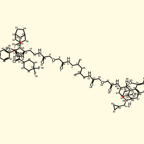 CC(CNC(=O)COCC(=O)NCCc1nnc(C(C)C)n1C1CC2CCC(C1)N2CC[C@H](NC(=O)C1CCC(F)(F)CC1)c1ccccc1)CC(C)CNC(=O)COCC(=O)N[C@@H]1CC[C@@]2(O)[C@H]3Cc4ccc(O)c5c4[C@@]2(CCN3CC2CC2)[C@H]1O5